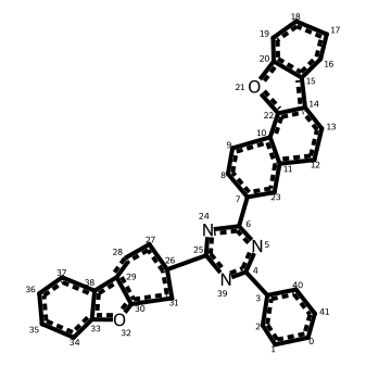 c1ccc(-c2nc(-c3ccc4c(ccc5c6ccccc6oc45)c3)nc(-c3ccc4c(c3)oc3ccccc34)n2)cc1